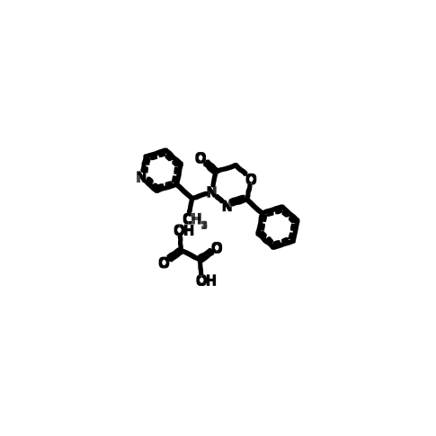 CC(c1cccnc1)N1N=C(c2ccccc2)OCC1=O.O=C(O)C(=O)O